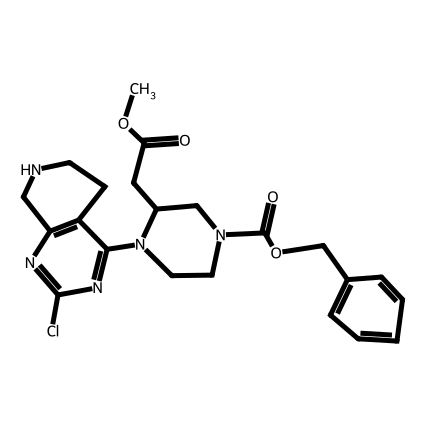 COC(=O)CC1CN(C(=O)OCc2ccccc2)CCN1c1nc(Cl)nc2c1CCNC2